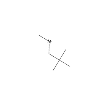 C[N]CC(C)(C)C